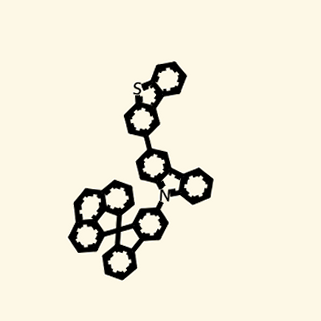 c1ccc2c(c1)-c1ccc(-n3c4ccccc4c4cc(-c5ccc6sc7ccccc7c6c5)ccc43)cc1C21c2cccc3ccc4cccc1c4c23